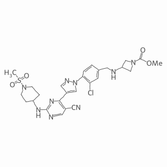 COC(=O)N1CC(NCc2ccc(-n3cc(-c4nc(NC5CCN(S(C)(=O)=O)CC5)ncc4C#N)cn3)c(Cl)c2)C1